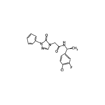 C[C@H](NC(=O)Cn1cnn(-c2ccccc2)c1=O)c1ccc(Cl)c(F)c1